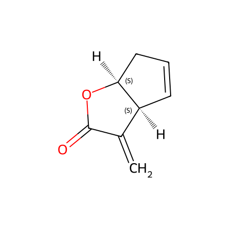 C=C1C(=O)O[C@H]2CC=C[C@@H]12